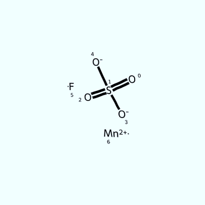 O=S(=O)([O-])[O-].[F].[Mn+2]